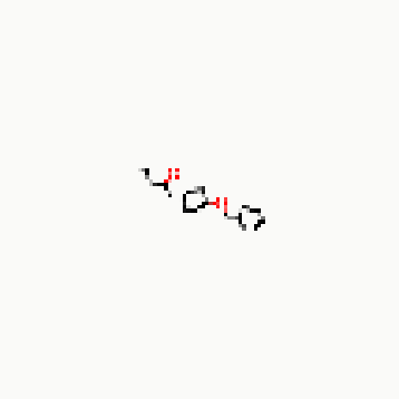 CCCC(=O)Cc1ccc(OCc2ccccc2)cc1